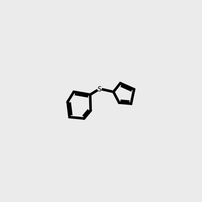 C1=CC(Sc2ccccc2)C=C1